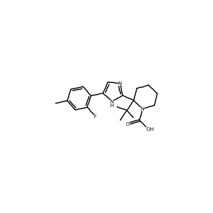 Cc1ccc(-c2cnc(C3(C(C)(C)C)CCCCN3C(=O)O)[nH]2)c(F)c1